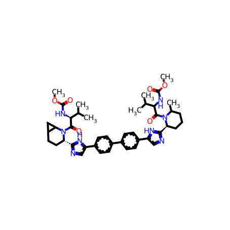 COC(=O)NC(C(=O)N1C(C)CCC[C@H]1c1ncc(-c2ccc(-c3ccc(-c4cnc([C@@H]5CCC6CC6N5C(=O)[C@@H](NC(=O)OC)C(C)C)[nH]4)cc3)cc2)[nH]1)C(C)C